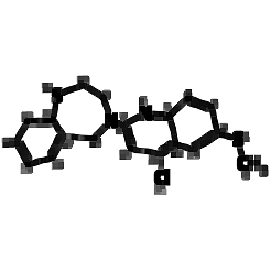 CSc1ccc2nc(N3CCSc4ccccc4C3)cc(Cl)c2c1